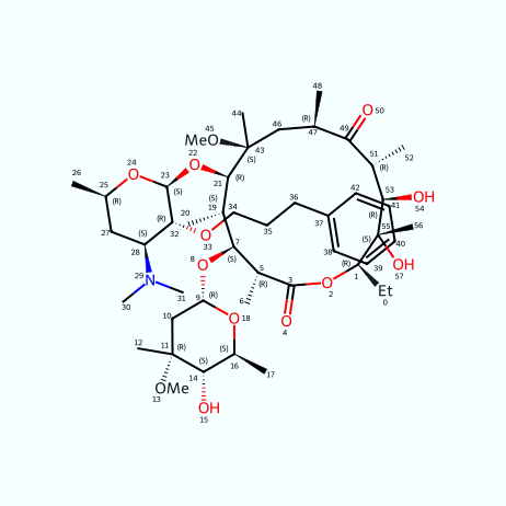 CC[C@H]1OC(=O)[C@H](C)[C@@H](O[C@H]2C[C@@](C)(OC)[C@@H](O)[C@H](C)O2)[C@H](C)[C@@H](O[C@@H]2O[C@H](C)C[C@H](N(C)C)[C@H]2OCCCc2ccccc2)[C@@](C)(OC)C[C@@H](C)C(=O)[C@H](C)[C@@H](O)[C@]1(C)O